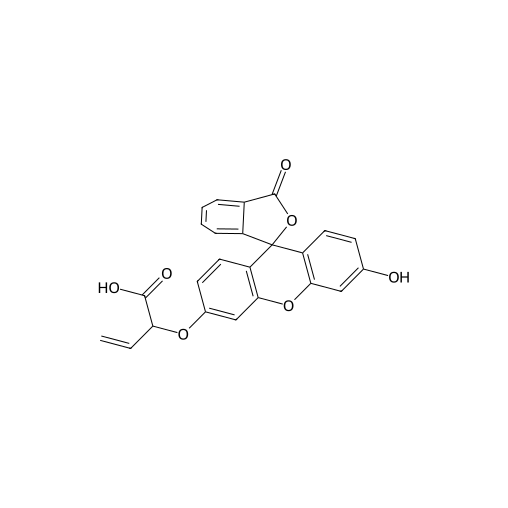 C=CC(Oc1ccc2c(c1)Oc1cc(O)ccc1C21OC(=O)c2ccccc21)C(=O)O